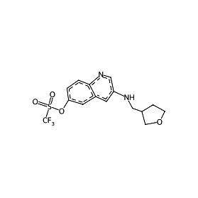 O=S(=O)(Oc1ccc2ncc(NCC3CCOC3)cc2c1)C(F)(F)F